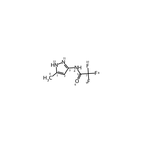 Cc1cc(NC(=O)C(F)(F)F)n[nH]1